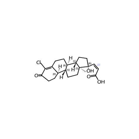 C[C@]12CC[C@H]3[C@@H](CCC4=C(Cl)C(=O)CC[C@@H]43)[C@@H]1CC[C@@]2(O)/C=C\C(=O)O